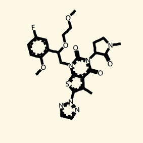 COCCOC(Cn1c(=O)n(C2CCN(C)C2=O)c(=O)c2c(C)c(-n3nccn3)sc21)c1cc(F)ccc1OC